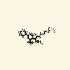 COCCCSc1sc2nc(-c3cncnc3)cc(C(F)(F)F)c2c1N